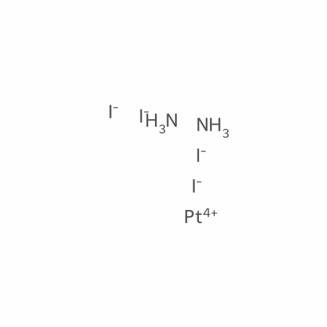 N.N.[I-].[I-].[I-].[I-].[Pt+4]